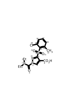 CCN(CC)C(=O)n1cc(C(=O)O)c(S(=O)(=O)c2c(C)cccc2Cl)n1